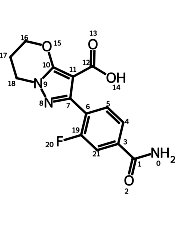 NC(=O)c1ccc(-c2nn3c(c2C(=O)O)OCCC3)c(F)c1